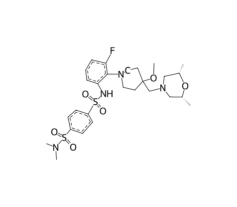 COC1(CN2C[C@@H](C)O[C@@H](C)C2)CCN(c2c(F)cccc2NS(=O)(=O)c2ccc(S(=O)(=O)N(C)C)cc2)CC1